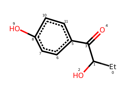 CCC(O)C(=O)c1ccc(O)cc1